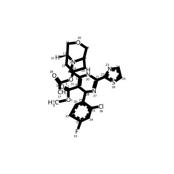 COC(=O)C1=C(CN2C3COC[C@H]2CC(OC(C)=O)C3)NC(c2nccs2)=NC1c1ccc(F)cc1Cl